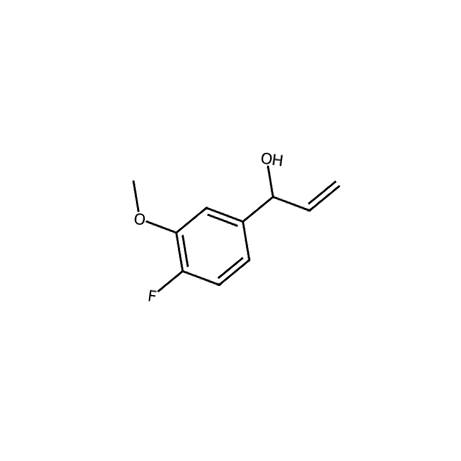 C=CC(O)c1ccc(F)c(OC)c1